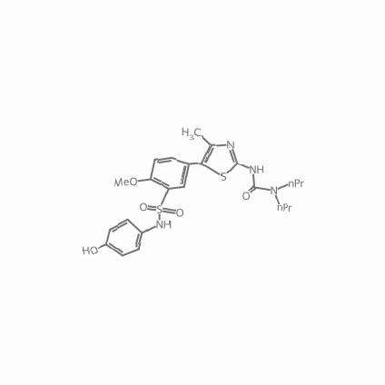 CCCN(CCC)C(=O)Nc1nc(C)c(-c2ccc(OC)c(S(=O)(=O)Nc3ccc(O)cc3)c2)s1